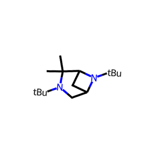 CC(C)(C)N1C2CC1C(C)(C)N(C(C)(C)C)C2